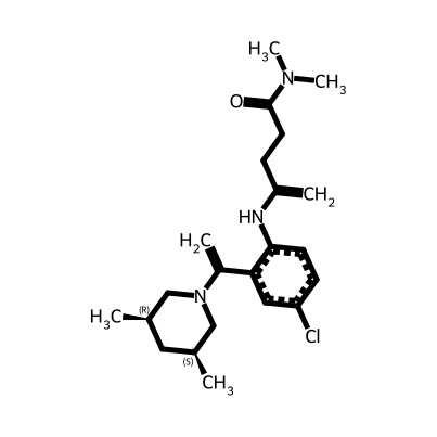 C=C(CCC(=O)N(C)C)Nc1ccc(Cl)cc1C(=C)N1C[C@H](C)C[C@H](C)C1